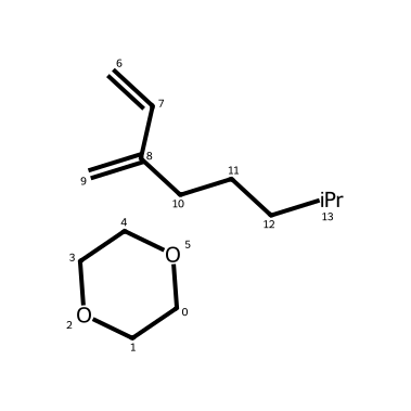 C1COCCO1.C=CC(=C)CCCC(C)C